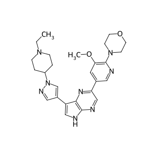 CCN1CCC(n2cc(-c3c[nH]c4ncc(-c5cnc(N6CCOCC6)c(OC)c5)nc34)cn2)CC1